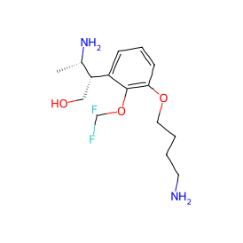 C[C@H](N)[C@@H](CO)c1cccc(OCCCCN)c1OC(F)F